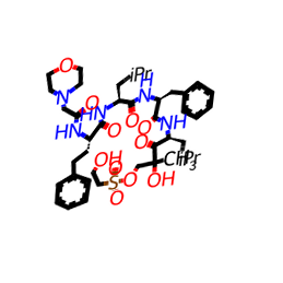 CC(C)C[C@H](NC(=O)[C@H](CCc1ccccc1)NC(=O)CN1CCOCC1)C(=O)N[C@@H](Cc1ccccc1)C(=O)N[C@@H](CC(C)C)C(=O)C(C)(O)COS(=O)(=O)CCO